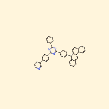 c1ccc(-c2nc(-c3ccc(-c4cccnc4)cc3)nc(-c3ccc(-c4c5ccccc5cc5c4ccc4ccccc45)cc3)n2)cc1